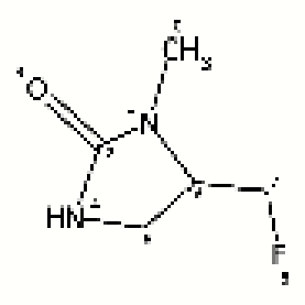 CN1C(=O)NCC1CF